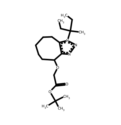 CCC(C)(CC)n1nnc2c1CCCCCC2OCC(=O)OC(C)(C)C